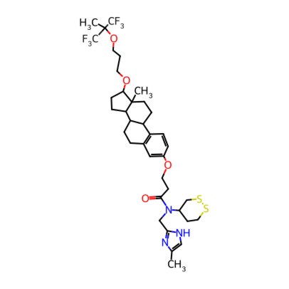 Cc1c[nH]c(CN(C(=O)CCOc2ccc3c(c2)CCC2C3CCC3(C)C(OCCCOC(C)(C(F)(F)F)C(F)(F)F)CCC23)C2CCSSC2)n1